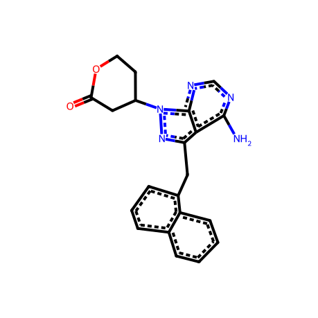 Nc1ncnc2c1c(Cc1cccc3ccccc13)nn2C1CCOC(=O)C1